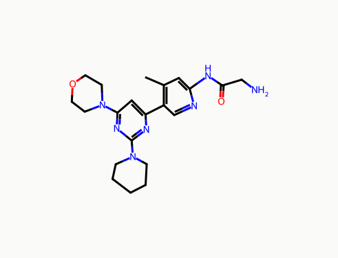 Cc1cc(NC(=O)CN)ncc1-c1cc(N2CCOCC2)nc(N2CCCCC2)n1